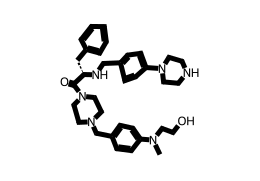 CN(CCO)c1ccc(CN2CCN(C(=O)[C@H](Cc3ccccc3)NCc3ccc(N4CCNCC4)cc3)CC2)cc1